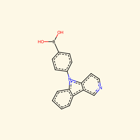 OB(O)c1ccc(-n2c3ccccc3c3cnccc32)cc1